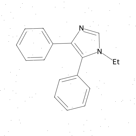 CCn1cnc(-c2ccccc2)c1-c1ccccc1